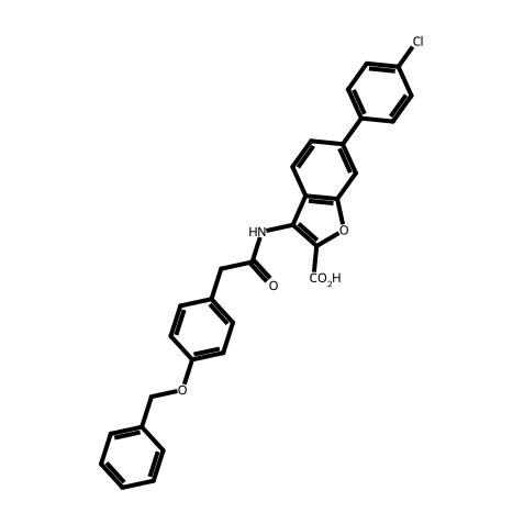 O=C(Cc1ccc(OCc2ccccc2)cc1)Nc1c(C(=O)O)oc2cc(-c3ccc(Cl)cc3)ccc12